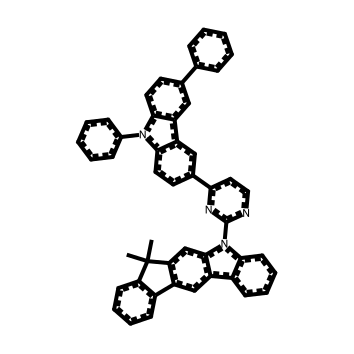 CC1(C)c2ccccc2-c2cc3c4ccccc4n(-c4nccc(-c5ccc6c(c5)c5cc(-c7ccccc7)ccc5n6-c5ccccc5)n4)c3cc21